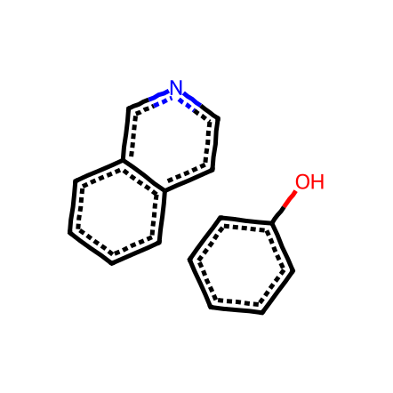 Oc1ccccc1.c1ccc2cnccc2c1